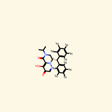 [2H]c1c([2H])c([2H])c(C(c2c([2H])c([2H])c([2H])c([2H])c2[2H])[C@H]2CN(C(C)C)C(=O)c3c(O)c(=O)cnn32)c([2H])c1[2H]